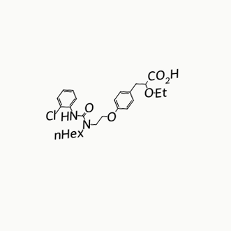 CCCCCCN(CCOc1ccc(CC(OCC)C(=O)O)cc1)C(=O)Nc1ccccc1Cl